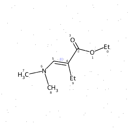 CCOC(=O)/C(=C/N(C)C)CC